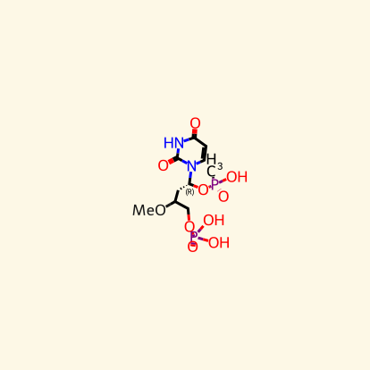 COC(COP(=O)(O)O)C[C@@H](OP(C)(=O)O)n1ccc(=O)[nH]c1=O